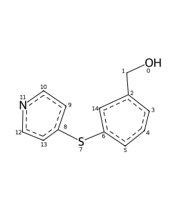 OCc1cccc(Sc2ccncc2)c1